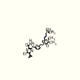 CCc1nc(C(N)=O)c(Nc2cccc(CCNC(=O)[C@H](C)N(C)C(=O)/C=C/CN(C)C)n2)nc1C1CC1